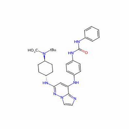 CC(C)(C)N(C(=O)O)[C@H]1CC[C@H](Nc2cc(Nc3ccc(NC(=O)Nc4ccccc4)cc3)c3nccn3n2)CC1